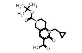 CC(C)(C)OC(=O)N1CCc2c(cc(C(=O)O)c(=O)n2CC2CC2)C1